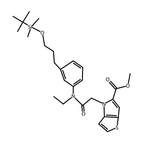 CCN(C(=O)Cn1c(C(=O)OC)cc2sccc21)c1cccc(CCCO[Si](C)(C)C(C)(C)C)c1